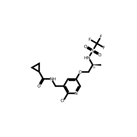 C[C@@H](COc1cnc(Cl)c(CNC(=O)C2CC2)c1)NS(=O)(=O)C(F)(F)F